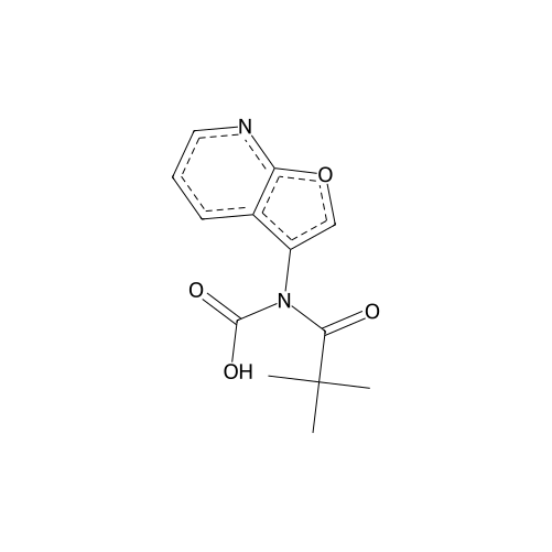 CC(C)(C)C(=O)N(C(=O)O)c1coc2ncccc12